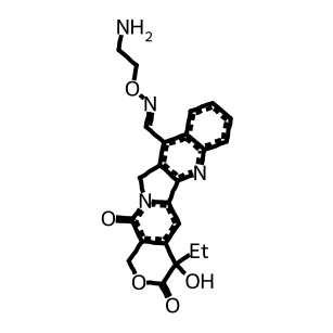 CCC1(O)C(=O)OCc2c1cc1n(c2=O)Cc2c-1nc1ccccc1c2C=NOCCN